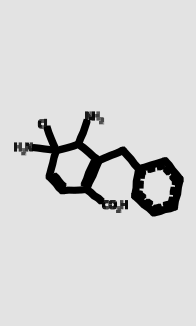 NC1C(Cc2ccccc2)=C(C(=O)O)C=CC1(N)Cl